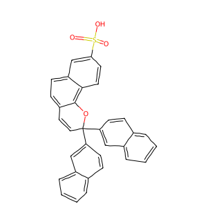 O=S(=O)(O)c1ccc2c3c(ccc2c1)C=CC(c1ccc2ccccc2c1)(c1ccc2ccccc2c1)O3